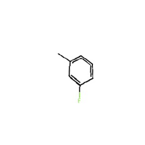 CC1=C=C=CC(F)=C1